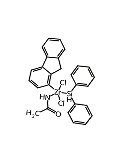 CC(=O)[NH][Zr]([Cl])([Cl])([c]1cccc2c1Cc1ccccc1-2)[SiH](c1ccccc1)c1ccccc1